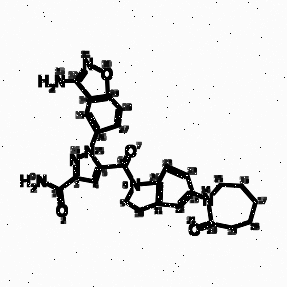 NC(=O)c1cc(C(=O)N2CCc3cc(N4CCCCCC4=O)ccc32)n(-c2ccc3onc(N)c3c2)n1